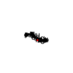 Cc1cccc(CSc2nnc(NC(=O)CSc3nc4ccc(NC(=O)c5ccccc5Cl)cc4s3)s2)c1